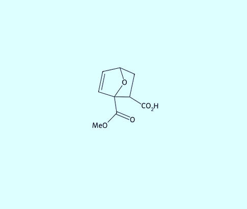 COC(=O)C12C=CC(CC1C(=O)O)O2